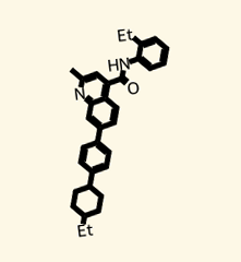 CCc1ccccc1NC(=O)c1cc(C)nc2cc(-c3ccc(C4CCC(CC)CC4)cc3)ccc12